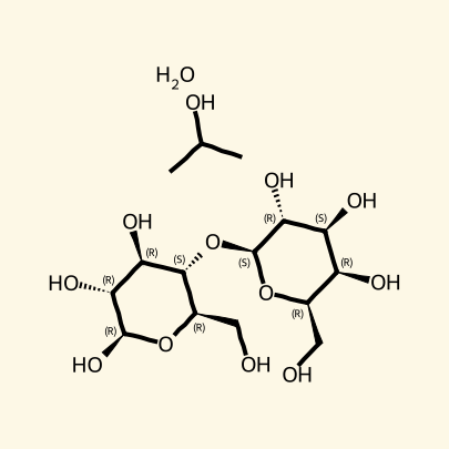 CC(C)O.O.OC[C@H]1O[C@@H](O[C@H]2[C@H](O)[C@@H](O)[C@H](O)O[C@@H]2CO)[C@H](O)[C@@H](O)[C@H]1O